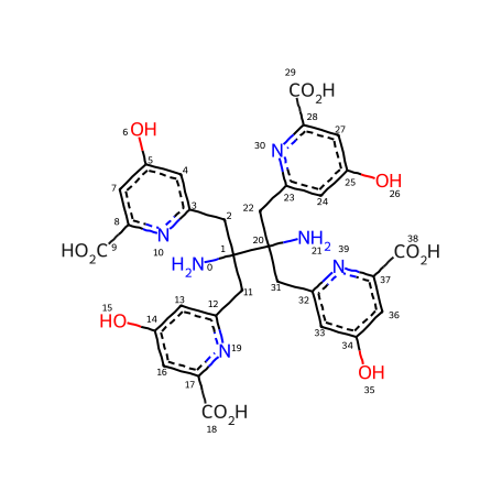 NC(Cc1cc(O)cc(C(=O)O)n1)(Cc1cc(O)cc(C(=O)O)n1)C(N)(Cc1cc(O)cc(C(=O)O)n1)Cc1cc(O)cc(C(=O)O)n1